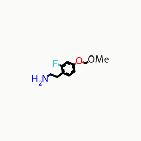 COCOc1ccc(CCN)c(F)c1